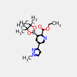 CCOC(=O)c1ncc(-c2ccn(C)n2)cc1B1OC(C)(C)C(C)(C)O1